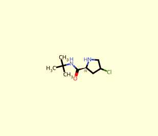 CC(C)(C)NC(=O)[C@@H]1CC(Cl)CN1